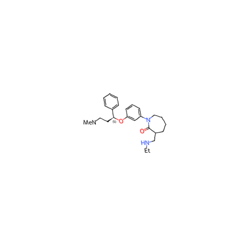 CCNCC1CCCCN(c2cccc(O[C@@H](CCNC)c3ccccc3)c2)C1=O